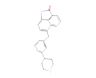 O=C1Nc2ccc(Cc3cccc(C4CCNCC4)c3)c3cccc1c23